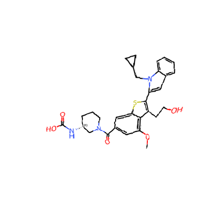 COc1cc(C(=O)N2CCC[C@@H](NC(=O)O)C2)cc2sc(-c3cc4ccccc4n3CC3CC3)c(CCO)c12